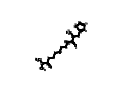 CN(C)C(=O)CCCOCCNC(=O)C(N)Cc1cnc[nH]1